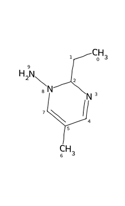 CCC1N=CC(C)=CN1N